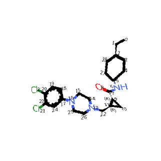 CC[C@H]1CC[C@H](NC(=O)[C@@H]2C[C@H]2CN2CCN(c3ccc(Cl)c(Cl)c3)CC2)CC1